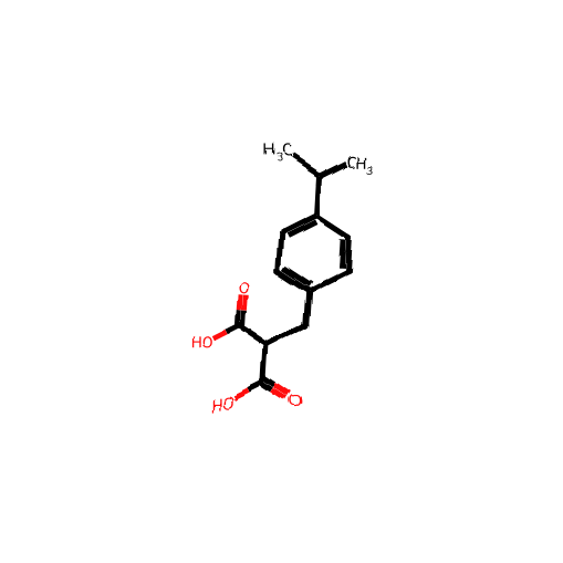 CC(C)c1ccc(CC(C(=O)O)C(=O)O)cc1